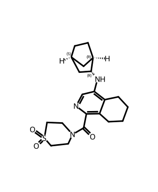 O=C(c1ncc(N[C@@H]2C[C@H]3CC[C@@H]2C3)c2c1CCCC2)N1CCS(=O)(=O)CC1